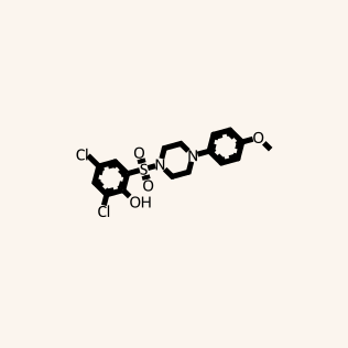 COc1ccc(N2CCN(S(=O)(=O)c3cc(Cl)cc(Cl)c3O)CC2)cc1